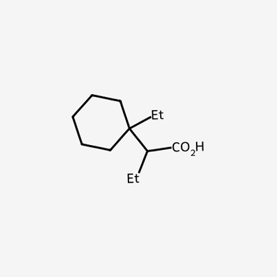 CCC(C(=O)O)C1(CC)CCCCC1